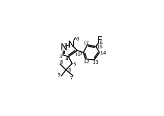 Cn1ncc(CC(C)(C)C)c1-c1cccc(F)c1